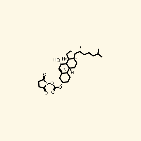 CC(C)CCC[C@@H](C)[C@H]1CC[C@H]2C3[C@@H](O)C=C4C[C@@H](OC(=O)ON5C(=O)CCC5=O)CC[C@]4(C)[C@H]3CC[C@]12C